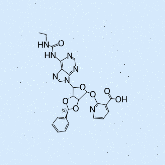 CCNC(=O)Nc1ncnc2c1ncn2C1OC(Oc2ncccc2C(=O)O)C2O[C@@H](c3ccccc3)OC21